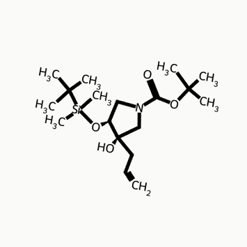 C=CC[C@@]1(O)CN(C(=O)OC(C)(C)C)C[C@@H]1O[Si](C)(C)C(C)(C)C